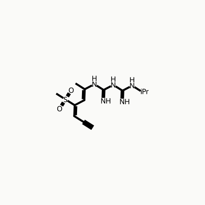 C#C/C=C(\C=C(/C)NC(=N)NC(=N)NC(C)C)S(C)(=O)=O